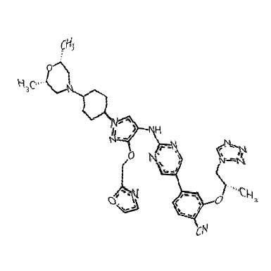 C[C@@H]1CN(C2CCC(n3cc(Nc4ncc(-c5ccc(C#N)c(O[C@@H](C)Cn6cnnn6)c5)cn4)c(OCc4ncco4)n3)CC2)C[C@H](C)O1